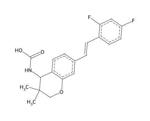 CC1(C)COc2cc(/C=C/c3ccc(F)cc3F)ccc2C1NC(=O)O